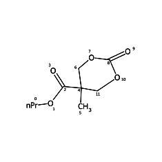 CCCOC(=O)C1(C)COC(=O)OC1